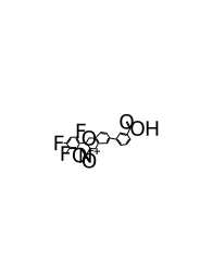 O=C(O)c1cccc(-c2ccc3c(c2)CC([N+](=O)[O-])C(c2cc(F)c(F)cc2F)O3)c1